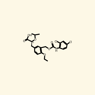 CCOc1ccc(C[C@H](OC(C)C)C(=O)O)cc1COC(=O)Nc1ccc(Cl)cc1Cl